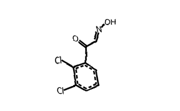 O=C(C=NO)c1cccc(Cl)c1Cl